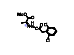 COC(=O)/C(C)=N\NCC(=O)Cc1c(Cl)cccc1Cl